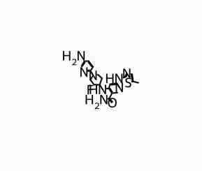 Cc1cnc(Nc2cc(N[C@@H]3CCN(c4ccc(N)cn4)C[C@@H]3F)c(C(N)=O)cn2)s1